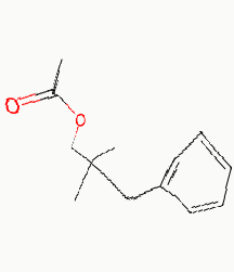 CC(=O)OCC(C)(C)Cc1ccccc1